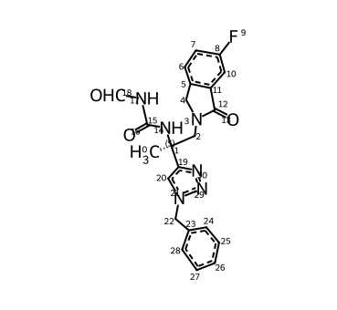 C[C@@](CN1Cc2ccc(F)cc2C1=O)(NC(=O)NC=O)c1cn(Cc2ccccc2)nn1